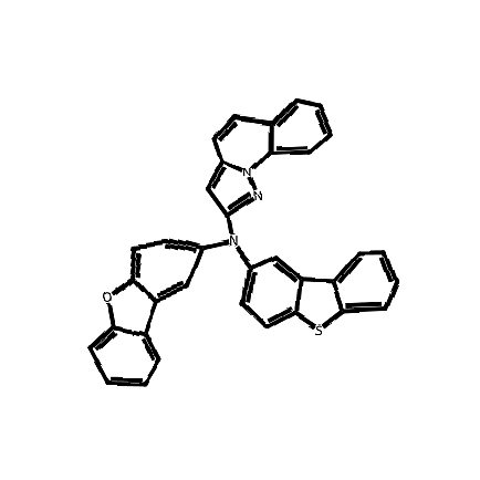 c1ccc2c(c1)ccc1cc(N(c3ccc4oc5ccccc5c4c3)c3ccc4sc5ccccc5c4c3)nn12